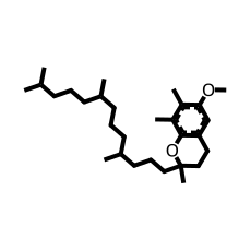 COc1cc2c(c(C)c1C)OC(C)(CCCC(C)CCCC(C)CCCC(C)C)CC2